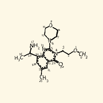 COCCn1c(N2CCOCC2)nc2c(C(C)N)cc(C)cc2c1=O